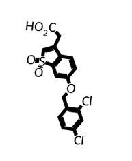 O=C(O)CC1=CS(=O)(=O)c2cc(OCc3ccc(Cl)cc3Cl)ccc21